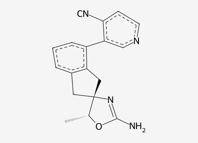 [C-]#[N+]c1ccncc1-c1cccc2c1C[C@@]1(C2)N=C(N)O[C@@H]1C